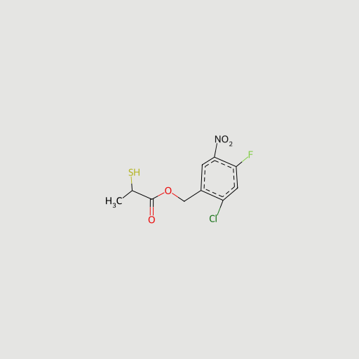 CC(S)C(=O)OCc1cc([N+](=O)[O-])c(F)cc1Cl